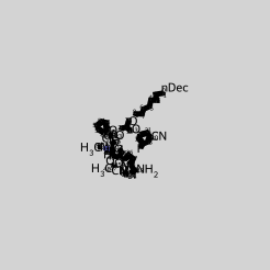 CCCCCCCCCCCCCCCCCCOCC(COc1cc(F)cc(C#N)c1)COP(=O)(OC[C@@]1(/C=N/C)OC[C@]2(c3ccc4c(N)ncnn34)OC(C)(C)O[C@H]12)Oc1ccccc1Cl